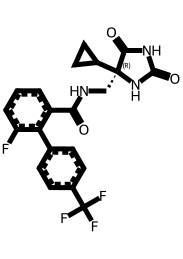 O=C1NC(=O)[C@](CNC(=O)c2cccc(F)c2-c2ccc(C(F)(F)F)cc2)(C2CC2)N1